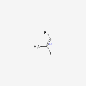 CC/C=C(\N)F